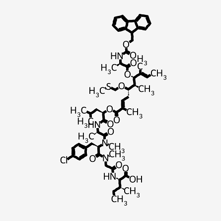 C/C=C(\C)[C@@H](OC(=O)[C@@H](C)NC(=O)OCC1c2ccccc2-c2ccccc21)[C@@H](C)[C@H](C/C=C(\C)C(=O)O[C@H](CC(C)C)C(=O)N[C@@H](C)C(=O)N(C)[C@H](Cc1ccc(Cl)cc1)C(=O)N(C)CC(=O)N[C@H](C(=O)O)[C@H](C)CC)OCSC